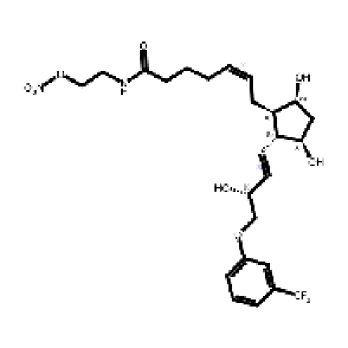 O=C(CCC/C=C\C[C@@H]1[C@@H](/C=C/[C@@H](O)COc2cccc(C(F)(F)F)c2)[C@H](O)C[C@@H]1O)NCCO[N+](=O)[O-]